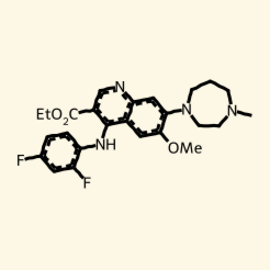 CCOC(=O)c1cnc2cc(N3CCCN(C)CC3)c(OC)cc2c1Nc1ccc(F)cc1F